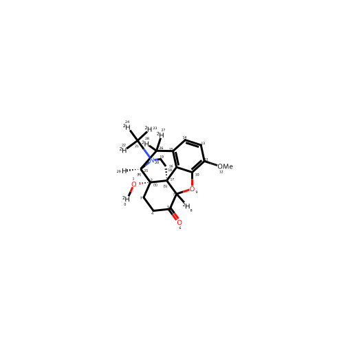 [2H]O[C@@]12CCC(=O)C3([2H])Oc4c(OC)ccc5c4[C@@]31CCN(C([2H])([2H])[2H])[C@@H]2C5([2H])[2H]